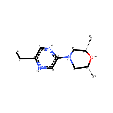 CCc1cnc(N2C[C@@H](C)O[C@@H](C)C2)cn1